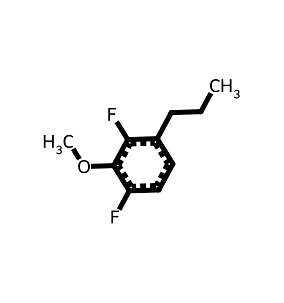 CCCc1ccc(F)c(OC)c1F